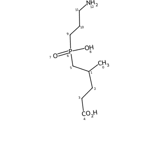 CC(CCC(=O)O)CP(=O)(O)CCCN